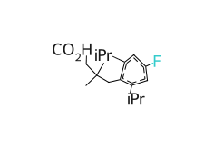 CC(C)c1cc(F)cc(C(C)C)c1CC(C)(C)CC(=O)O